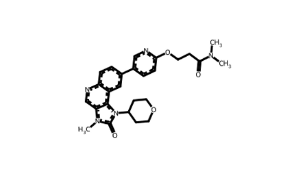 CN(C)C(=O)CCOc1ccc(-c2ccc3ncc4c(c3c2)n(C2CCOCC2)c(=O)n4C)cn1